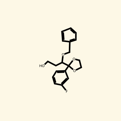 OCCC(OCc1ccccc1)C1(c2cccc(F)c2)OCCO1